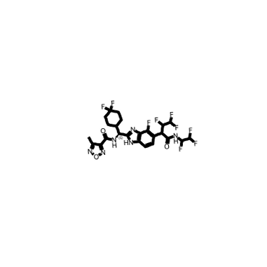 Cc1nonc1C(=O)N[C@H](c1nc2c(F)c(C(C(=O)NC(F)C(F)F)C(F)C(F)F)ccc2[nH]1)C1CCC(F)(F)CC1